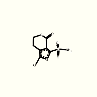 NS(=O)(=O)c1sc(Cl)c2c1C(=O)OCC2